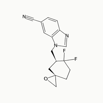 N#Cc1ccc2ncn(C[C@@H]3C[C@@]4(CCC3(F)F)CO4)c2c1